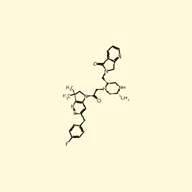 C[C@@H]1CN(CC(=O)N2CC(C)(C)c3nnc(Cc4ccc(F)cc4)cc32)[C@@H](CN2Cc3ncccc3C2=O)CN1